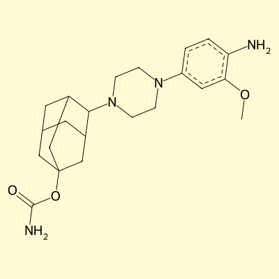 COc1cc(N2CCN(C3C4CC5CC3CC(OC(N)=O)(C5)C4)CC2)ccc1N